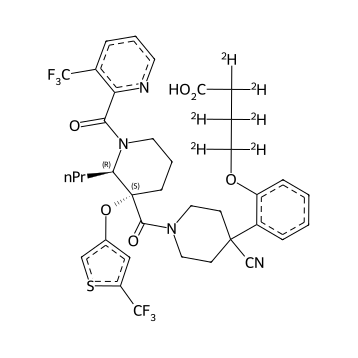 [2H]C([2H])(Oc1ccccc1C1(C#N)CCN(C(=O)[C@]2(Oc3csc(C(F)(F)F)c3)CCCN(C(=O)c3ncccc3C(F)(F)F)[C@@H]2CCC)CC1)C([2H])([2H])C([2H])([2H])C(=O)O